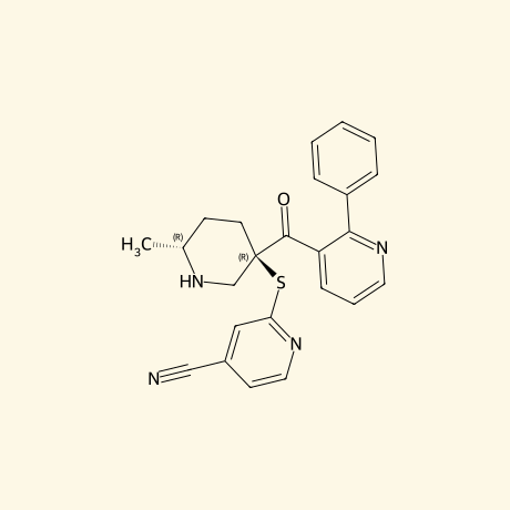 C[C@@H]1CC[C@](Sc2cc(C#N)ccn2)(C(=O)c2cccnc2-c2ccccc2)CN1